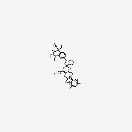 CCC(C#N)(CC)c1ccc(CCC2(C3CCCC3)CC(O)=C(Cc3nc4nc(C)cc(C)n4n3)C(=O)O2)cc1C(F)(F)F